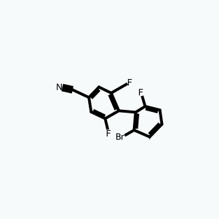 N#Cc1cc(F)c(-c2c(Br)[c]ccc2F)c(F)c1